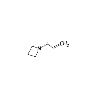 C=C[CH]N1CCC1